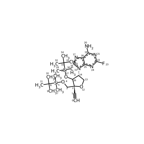 C#C[C@]1(CO[Si](C)(C)C(C)(C)C)OC[C@@H](n2cnc3c(N)nc(F)nc32)C1O[Si](C)(C)C(C)(C)C